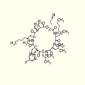 CCCC[C@@H](C)CC1NC(=O)[C@@H](CCC#N)OC(=O)C(C)N(C)C(=O)[C@H](C[C@H](C)CCCC)NC(=O)[C@H](Cc2cncc(F)c2)N(C)C(=O)[C@H](CC(C)C)NC(=O)[C@H](CC(C)C)N(C)C1=O